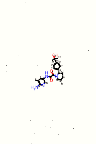 Cc1cc(NC(=O)C(=O)N2C[C@@H](C)CC[C@@H]2c2ccc(C(C)(C)O)cc2)cnc1N